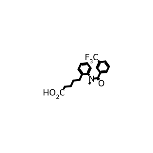 CN(C(=O)c1cccc(C(F)(F)F)c1)c1ccccc1CCCCC(=O)O